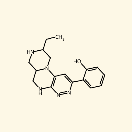 CCC1CN2c3cc(-c4ccccc4O)nnc3NCC2CN1